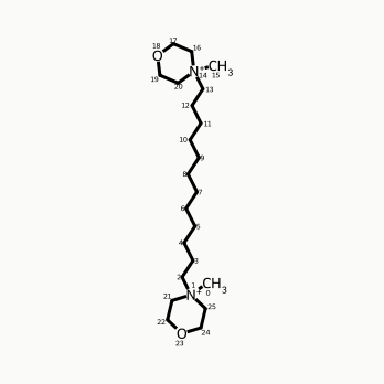 C[N+]1(CCCCCCCCCCCC[N+]2(C)CCOCC2)CCOCC1